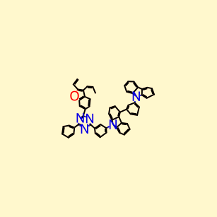 C=Cc1oc2cc(-c3nc(-c4ccccc4)nc(-c4cccc(-n5c6ccccc6c6c(-c7cccc(-n8c9ccccc9c9ccccc98)c7)cccc65)c4)n3)ccc2c1/C=C\C